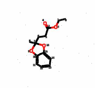 CCOC(=O)CCC1(C)Oc2ccccc2O1